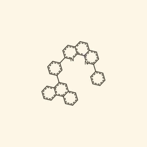 c1ccc(-c2ccc3ccc4ccc(-c5cccc(-c6cc7ccccc7c7ccccc67)c5)nc4c3n2)cc1